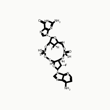 Nc1nc2c(ncn2[C@@H]2O[C@@H]3COP(=O)(S)O[C@H]4[C@H](F)[C@H](n5cnc6c(N)ccnc65)O[C@@H]4COP(=S)(S)O[C@@H]2[C@@H]3F)c(=O)[nH]1